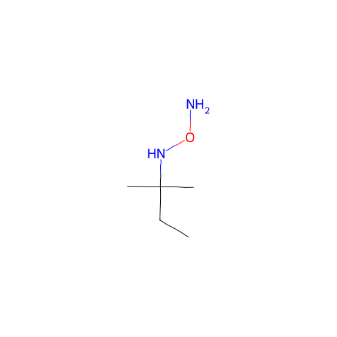 CCC(C)(C)NON